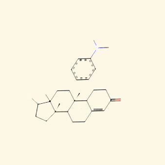 CCN(CC)c1ccc([C@H]2CC3(C)C(O)CC[C@H]3[C@@H]3CCC4=CC(=O)CC[C@@H]4[C@H]32)cc1